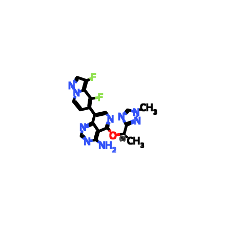 C[C@H](Oc1ncc(-c2ccn3ncc(F)c3c2F)c2ncnc(N)c12)c1ncn(C)n1